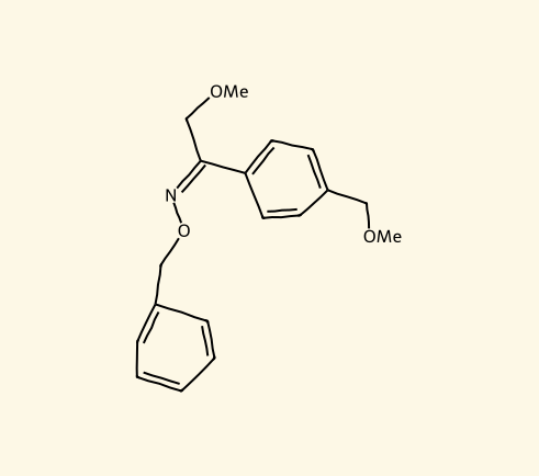 COCC(=NOCc1ccccc1)c1ccc(COC)cc1